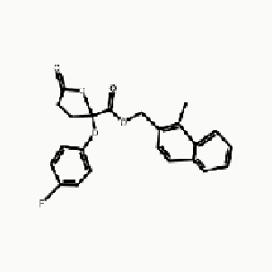 Cc1c(COC(=O)C2(Oc3ccc(F)cc3)CCC(=O)O2)ccc2ccccc12